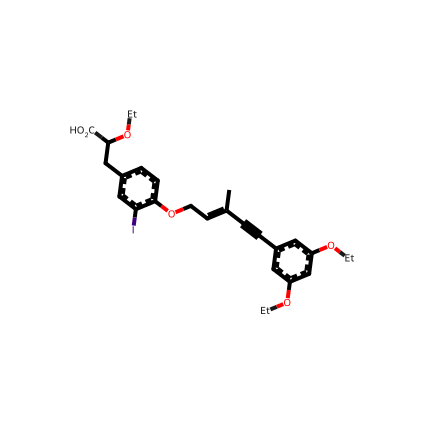 CCOc1cc(C#CC(C)=CCOc2ccc(CC(OCC)C(=O)O)cc2I)cc(OCC)c1